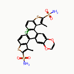 Cc1c(S(N)(=O)=O)sc2ccc(Cl)c(-c3cc4c(cc3-c3c(Cl)ccc5sc(S(N)(=O)=O)c(C)c35)OC=CO4)c12